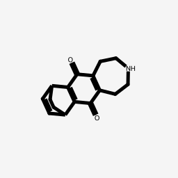 O=C1C2=C(CCNCC2)C(=O)C2=C1C1C=CC2CC1